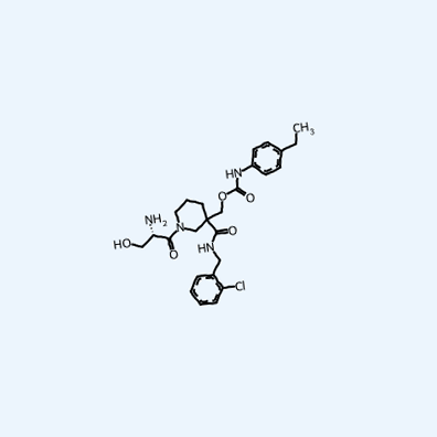 CCc1ccc(NC(=O)OCC2(C(=O)NCc3ccccc3Cl)CCCN(C(=O)[C@@H](N)CO)C2)cc1